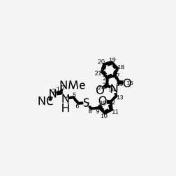 CN/C(=N/C#N)NCCSCc1ccc(CN2C(=O)c3ccccc3C2=O)o1